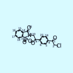 O=C(CCl)c1ccc(C(=O)CN2C(=O)c3ccccc3S2(=O)=O)cc1